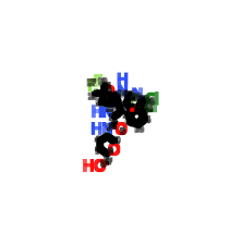 O=C(N[C@@H]1CC[C@@H](CO)OC1)[C@@H]1NC2(CC(CF)(CF)C2)[C@@]2(C(=O)Nc3nc(Cl)ccc32)[C@H]1c1cccc(Cl)c1F